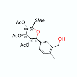 CS[C@H]1O[C@@H](c2ccc(C)c(CO)c2)[C@H](OC(C)=O)[C@@H](OC(C)=O)[C@@H]1OC(C)=O